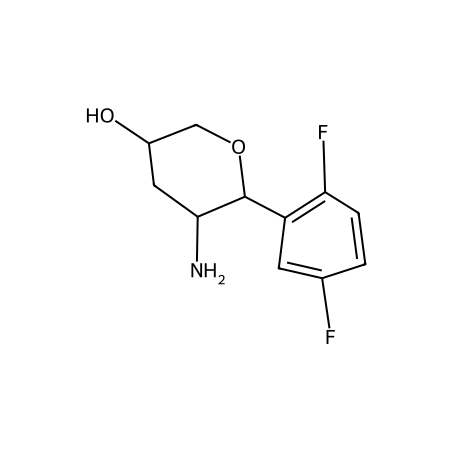 NC1CC(O)COC1c1cc(F)ccc1F